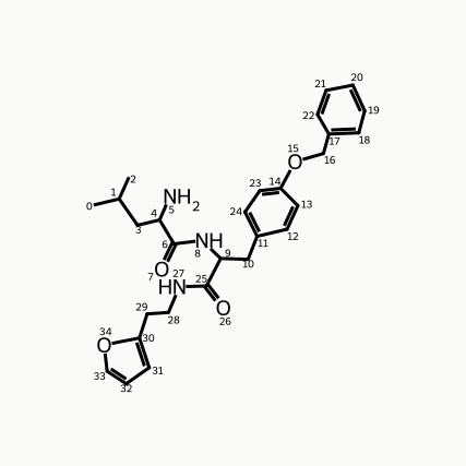 CC(C)CC(N)C(=O)NC(Cc1ccc(OCc2ccccc2)cc1)C(=O)NCCc1ccco1